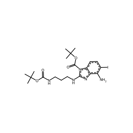 CC(C)(C)OC(=O)NCCCNc1nc2c(N)c(I)ccc2n1C(=O)OC(C)(C)C